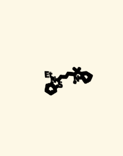 CCN1c2ccccc2SC1C=CC=C1N(C)c2ccccc2C1(C)C